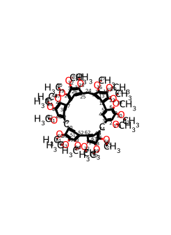 COc1c2cc(c(OC)c1OC)-c1cc(c(OC)c(OC)c1OC)Cc1cc(c(OC)c(OC)c1OC)-c1cc(c(OC)c(OC)c1OC)Cc1cc(c(OC)c(OC)c1OC)-c1cc(c(OC)c(OC)c1OC)C2